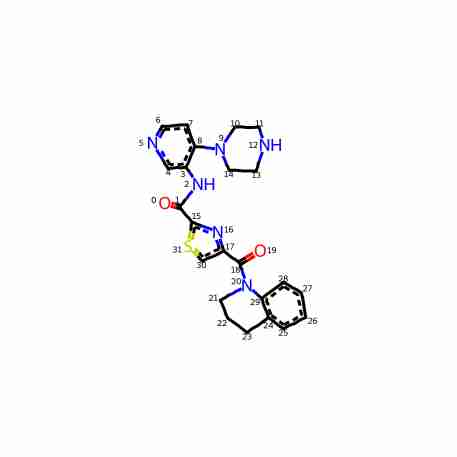 O=C(Nc1cnccc1N1CCNCC1)c1nc(C(=O)N2CCCc3ccccc32)cs1